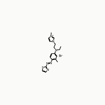 CCN(CCn1cc[n+](C)c1)c1ccc(N=Nc2nccs2)c(C)c1.[Br-]